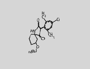 CCCCOC1CCCC2(C1)NC(=O)C(c1c(C)cc(Cl)cc1C)C2=O